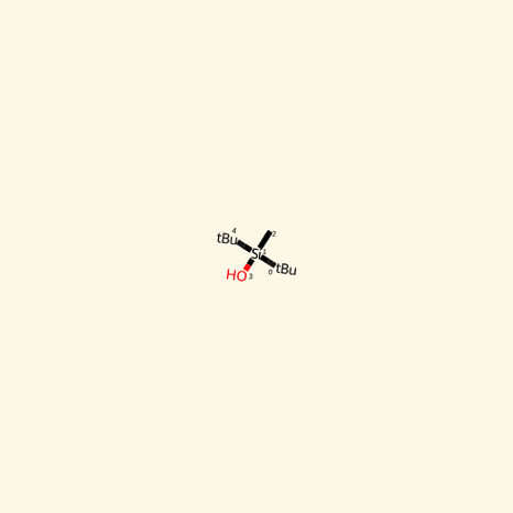 CC(C)(C)[Si](C)(O)C(C)(C)C